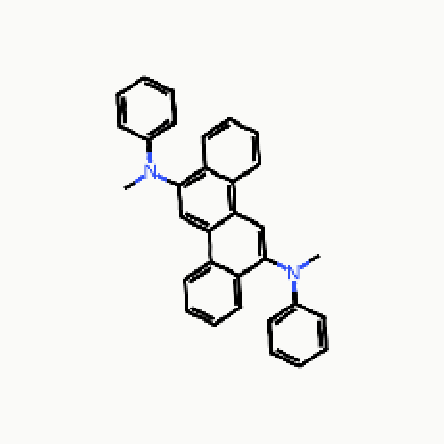 CN(c1ccccc1)c1cc2c3ccccc3c(N(C)c3ccccc3)cc2c2ccccc12